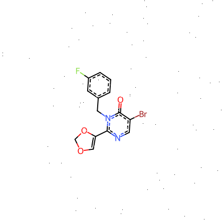 O=c1c(Br)cnc(C2=COCO2)n1Cc1cccc(F)c1